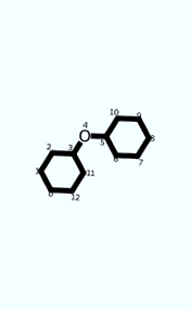 C1CC[C](O[C]2CCCCC2)CC1